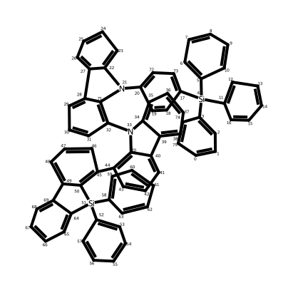 c1ccc([Si](c2ccccc2)(c2ccccc2)c2ccc(-n3c4ccccc4c4cccc(-n5c6ccccc6c6cccc(-c7cccc8c7[Si](c7ccccc7)(c7ccccc7)c7ccccc7-8)c65)c43)cc2)cc1